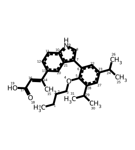 CCCCOc1c(-c2c[nH]c3ccc(C(C)=CC(=O)O)cc23)cc(C(C)C)cc1C(C)C